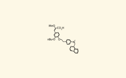 CCCCOc1cc(C=C(OC)C(=O)O)ccc1OCCc1ccc(N(C)Cc2cccc3ccccc23)cc1